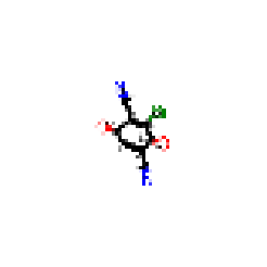 N#CC1=CC(=O)C(C#N)=C(Br)C1=O